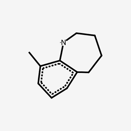 Cc1cccc2c1[N]CCCC2